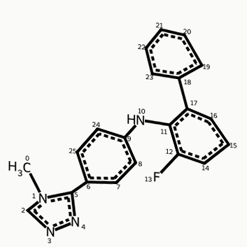 Cn1cnnc1-c1ccc(Nc2c(F)cccc2-c2ccccc2)cc1